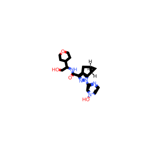 O=C(NC(CO)C1CCOCC1)c1nn(-c2c[n+](O)ccn2)c2c1C[C@H]1C[C@@H]21